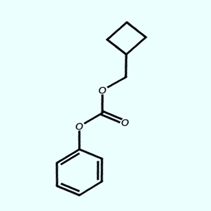 O=C(OCC1CCC1)Oc1ccccc1